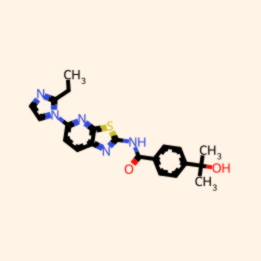 CCc1nccn1-c1ccc2nc(NC(=O)c3ccc(C(C)(C)O)cc3)sc2n1